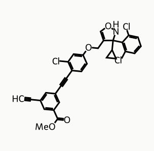 C#Cc1cc(C#Cc2ccc(OCC3=CONC3(c3c(Cl)cccc3Cl)C3CC3)cc2Cl)cc(C(=O)OC)c1